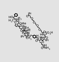 CC[C@H](C)[C@@H]([C@@H](CC(=O)N1CCC[C@H]1[C@H](OC)[C@@H](C)C(=O)N[C@H](C)[C@@H](O)c1ccccc1)OC)N(C)C(=O)[C@@H](NC(=O)[C@H](C(C)C)N(C)C(=O)OCc1ccc(NC(=O)[C@H](CCCNC(N)=O)NC(=O)[C@@H](NC(=O)[C@H](CS(=O)(=O)O)NC(=O)CCOCCOCCOCCOCCC(=O)C(C)C)C(C)C)cc1)C(C)C